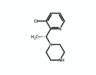 C[C@H](c1ncccc1Cl)N1CCNCC1